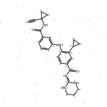 N#CC1(NC(=O)c2cccc(Nc3ccc(C(=O)N=C4NCCCN4)cc3C3CC3)c2)CC1